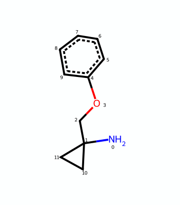 NC1(COc2ccccc2)CC1